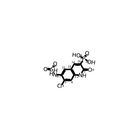 O=c1[nH]c2cc(Cl)c(N[SH](=O)=O)cc2cc1P(=O)(O)O